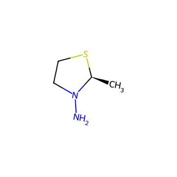 C[C@@H]1SCCN1N